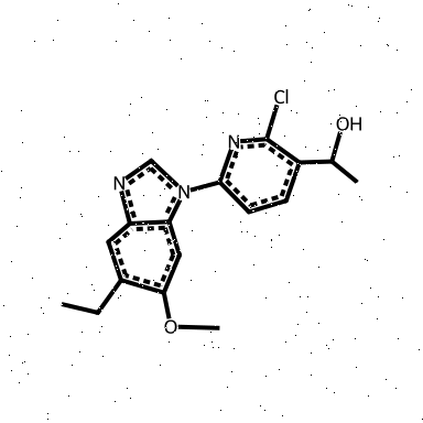 CCc1cc2ncn(-c3ccc(C(C)O)c(Cl)n3)c2cc1OC